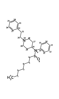 CCCCCCCC(=O)N(c1ccccc1)C1CCN(CCc2ccccc2)CC1